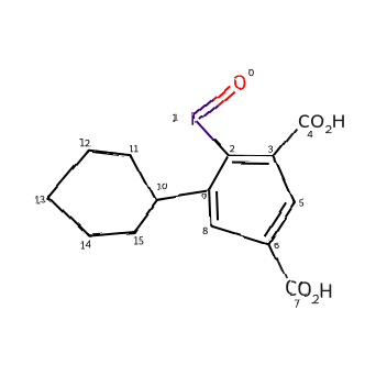 O=Ic1c(C(=O)O)cc(C(=O)O)cc1C1CCCCC1